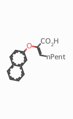 CCCCCC=C(Oc1ccc2ccccc2c1)C(=O)O